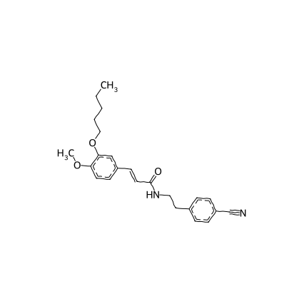 CCCCCOc1cc(C=CC(=O)NCCc2ccc(C#N)cc2)ccc1OC